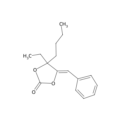 CCCCC1(CC)OC(=O)OC1=Cc1ccccc1